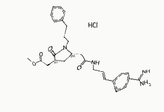 COC(=O)C[C@@H]1C[C@@H](CC(=O)NCC=Cc2ccc(C(=N)N)cc2)N(CCCc2ccccc2)C1=O.Cl